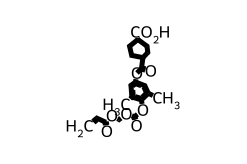 C=CC(=O)OCOC(=O)Oc1c(C)cc(OC(=O)C2CCC(C(=O)O)CC2)cc1C